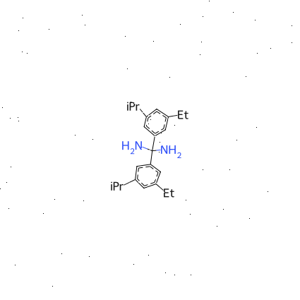 CCc1cc(C(C)C)cc(C(N)(N)c2cc(CC)cc(C(C)C)c2)c1